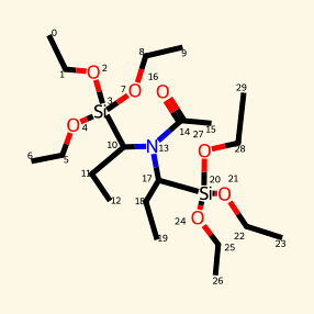 CCO[Si](OCC)(OCC)C(CC)N(C(C)=O)C(CC)[Si](OCC)(OCC)OCC